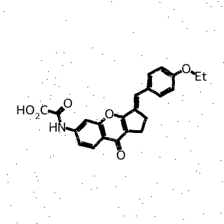 CCOc1ccc(/C=C2\CCc3c2oc2cc(NC(=O)C(=O)O)ccc2c3=O)cc1